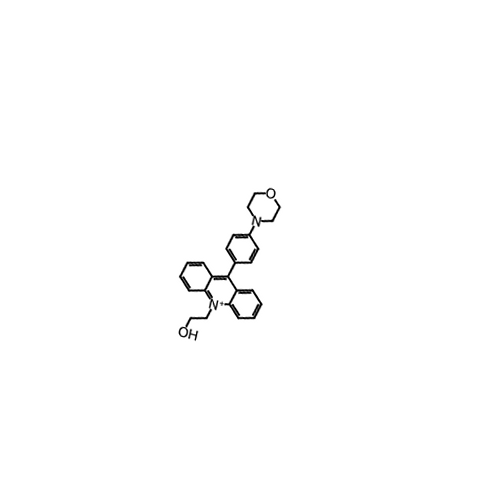 OCC[n+]1c2ccccc2c(-c2ccc(N3CCOCC3)cc2)c2ccccc21